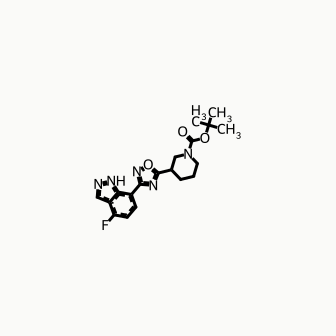 CC(C)(C)OC(=O)N1CCCC(c2nc(-c3ccc(F)c4cn[nH]c34)no2)C1